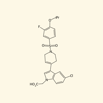 CC(C)Oc1ccc(S(=O)(=O)N2CC=C(c3cn(CC(=O)O)c4ccc(Cl)cc34)CC2)cc1F